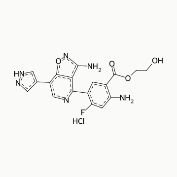 Cl.Nc1cc(F)c(-c2ncc(-c3cn[nH]c3)c3onc(N)c23)cc1C(=O)OCCO